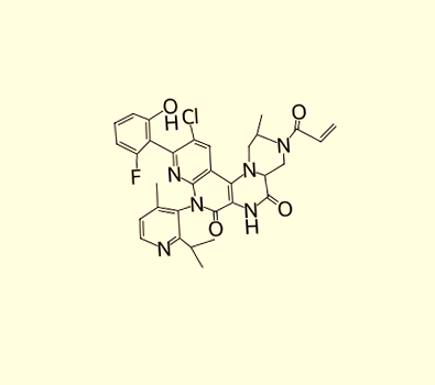 C=CC(=O)N1CC2C(=O)Nc3c(c4cc(Cl)c(-c5c(O)cccc5F)nc4n(-c4c(C)ccnc4C(C)C)c3=O)N2CC1C